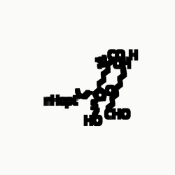 C=CCCCCCCCC=O.CCCCCCC[C@@H](C)/C=C/[C@H]1[C@H](SCCO)CC(=O)[C@@H]1CCCCC(C(O)C(=O)O)[Si](C)(C)C